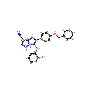 N#Cc1c[nH]n2c(Nc3ccccc3Cl)c(-c3ccc(OCc4ccccc4)cc3)nc12